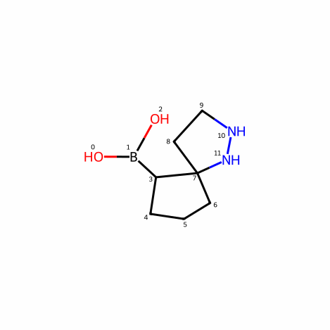 OB(O)C1CCCC12CCNN2